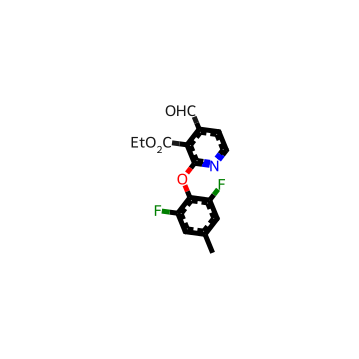 CCOC(=O)c1c(C=O)ccnc1Oc1c(F)cc(C)cc1F